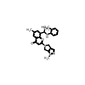 Cc1cc(C(C)Nc2ccccc2C(=O)O)c2oc(N3Cc4cnn(C)c4C3)cc(=O)c2c1